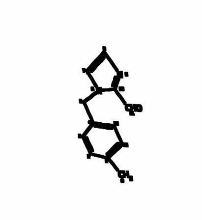 Cc1ccc(Cn2[c]cnc2C=O)cc1